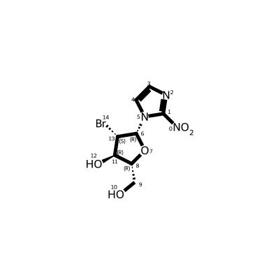 O=[N+]([O-])c1nccn1[C@@H]1O[C@H](CO)[C@@H](O)[C@@H]1Br